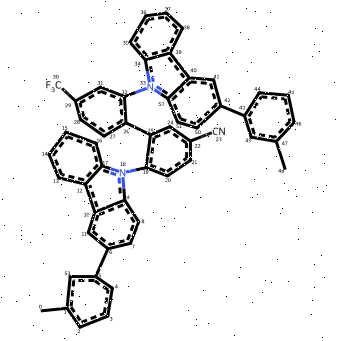 Cc1cccc(-c2ccc3c(c2)c2ccccc2n3-c2ccc(C#N)cc2-c2ccc(C(F)(F)F)cc2-n2c3ccccc3c3cc(-c4cccc(C)c4)ccc32)c1